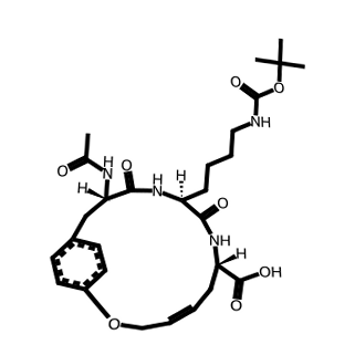 CC(=O)N[C@H]1Cc2ccc(cc2)OCC=CC[C@@H](C(=O)O)NC(=O)[C@H](CCCCNC(=O)OC(C)(C)C)NC1=O